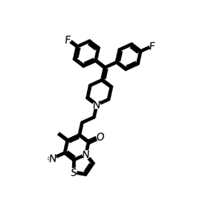 Cc1c(CCN2CCC(=C(c3ccc(F)cc3)c3ccc(F)cc3)CC2)c(=O)n2ccsc2c1[N]